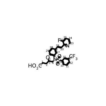 O=C(O)CCC1CN(S(=O)(=O)c2cccc(C(F)(F)F)c2)c2cc(C=Cc3ncccc3F)ccc2O1